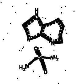 NS(N)(=O)=O.c1cnc2nc[nH]c2c1